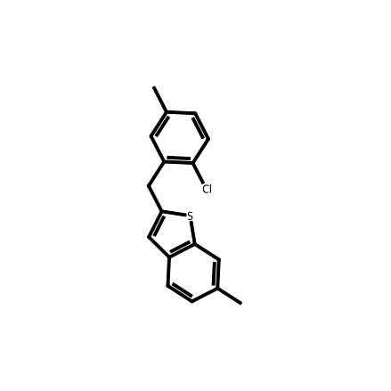 Cc1ccc(Cl)c(Cc2cc3ccc(C)cc3s2)c1